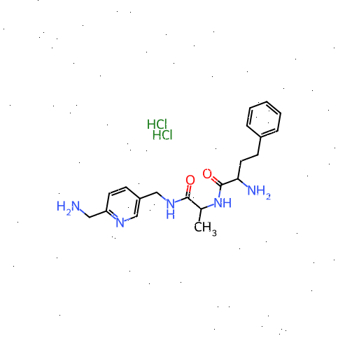 CC(NC(=O)C(N)CCc1ccccc1)C(=O)NCc1ccc(CN)nc1.Cl.Cl